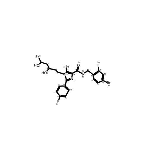 [CH2]CC(O)CC(O)CCn1c(-c2ccc(F)cc2)nc(C(=O)NCc2ccc(Br)cc2F)c1C(C)C